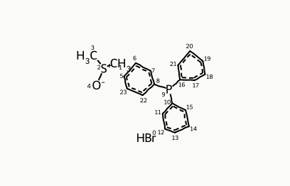 Br.C[S+](C)[O-].c1ccc(P(c2ccccc2)c2ccccc2)cc1